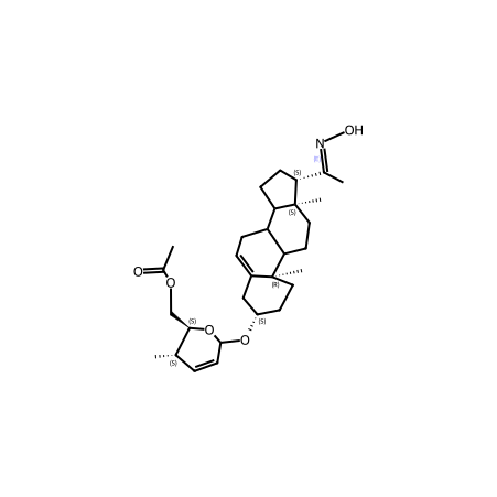 CC(=O)OC[C@H]1OC(O[C@H]2CC[C@@]3(C)C(=CCC4C3CC[C@@]3(C)C4CC[C@@H]3/C(C)=N/O)C2)C=C[C@@H]1C